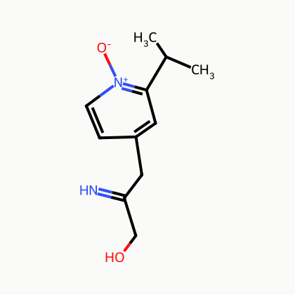 CC(C)c1cc(CC(=N)CO)cc[n+]1[O-]